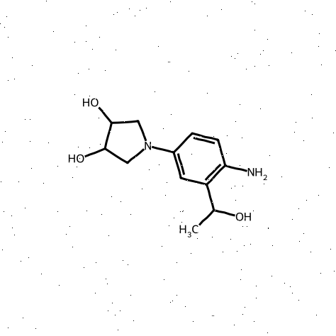 CC(O)c1cc(N2CC(O)C(O)C2)ccc1N